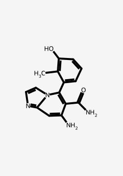 Cc1c(O)cccc1-c1c(C(N)=O)c(N)cc2nccn12